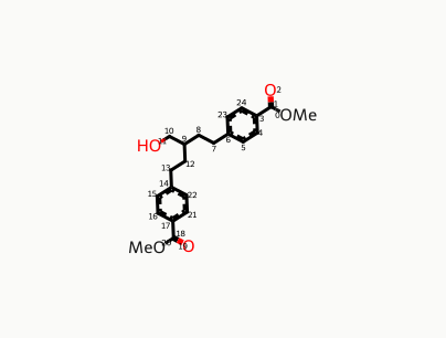 COC(=O)c1ccc(CCC(CO)CCc2ccc(C(=O)OC)cc2)cc1